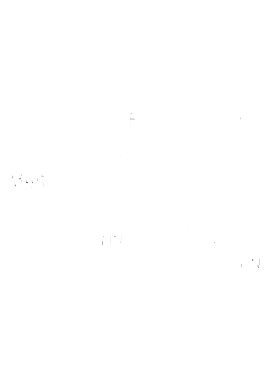 CSCc1cc(F)cc2c(C(CCC#N)c3ccc(Cl)cc3)c[nH]c12